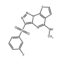 CNc1nc2c(S(=O)(=O)c3cccc(F)c3)nnn2c2sccc12